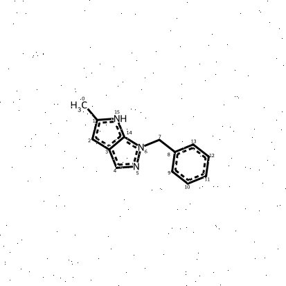 Cc1cc2cnn(Cc3ccccc3)c2[nH]1